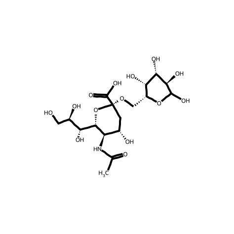 CC(=O)N[C@H]1[C@H]([C@H](O)[C@H](O)CO)O[C@@](OC[C@H]2OC(O)[C@H](O)[C@@H](O)[C@H]2O)(C(=O)O)C[C@@H]1O